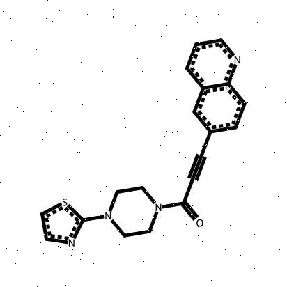 O=C(C#Cc1ccc2ncccc2c1)N1CCN(c2nccs2)CC1